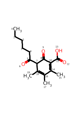 CCCCCC(=O)C1C(=O)C(C(=O)O)=C(C)C(C)=C1C